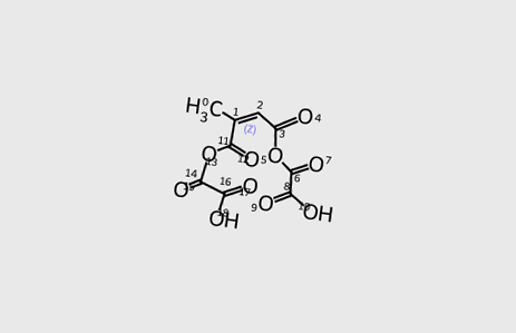 C/C(=C/C(=O)OC(=O)C(=O)O)C(=O)OC(=O)C(=O)O